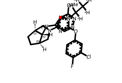 [2H]C([2H])([2H])C([2H])([2H])n1nc(N[C@@H]2[C@@H]3CC[C@H]2CN(c2cnnc(OC)c2)C3)nc1Oc1ccc(F)c(Cl)c1